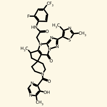 Cc1nc(C)c(-c2nc3n(CC(=O)Nc4ccc(C(F)(F)F)cc4F)c4c(c(=O)n3n2)C2(CCN(C(=O)c3ncnc(C)c3O)CC2)CC4C)s1